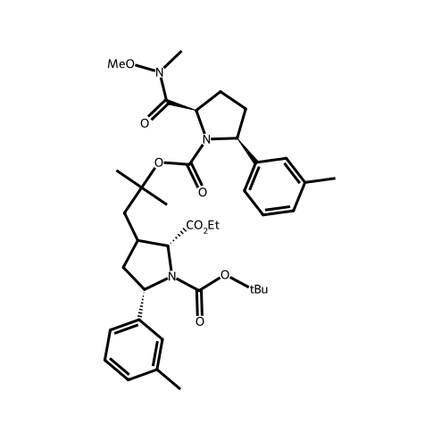 CCOC(=O)[C@H]1C(CC(C)(C)OC(=O)N2[C@@H](C(=O)N(C)OC)CC[C@H]2c2cccc(C)c2)C[C@@H](c2cccc(C)c2)N1C(=O)OC(C)(C)C